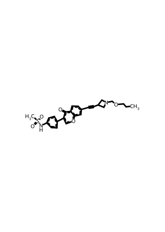 CCCOCN1CC(C#Cc2ccc3c(=O)c(-c4ccc(NS(C)(=O)=O)cc4)coc3c2)C1